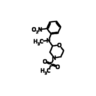 CN(c1ccccc1[N+](=O)[O-])C1CN(S(C)(=O)=O)CCO1